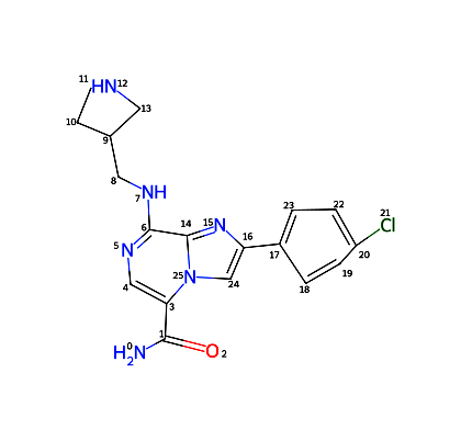 NC(=O)c1cnc(NCC2CCNC2)c2nc(-c3ccc(Cl)cc3)cn12